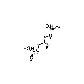 O=[PH](O)OCCCO[PH](=O)O.[Zr]